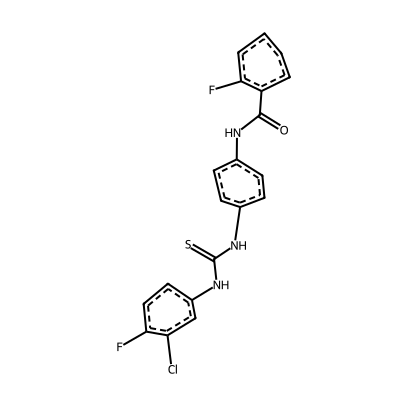 O=C(Nc1ccc(NC(=S)Nc2ccc(F)c(Cl)c2)cc1)c1ccccc1F